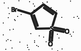 O=S1(=O)C=CC(Br)=C1